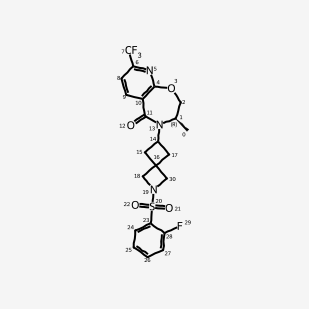 C[C@@H]1COc2nc(C(F)(F)F)ccc2C(=O)N1C1CC2(C1)CN(S(=O)(=O)c1ccccc1F)C2